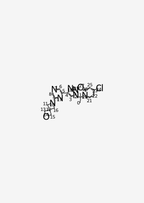 CC(n1cc(-c2cncc(N3CC4(COC4)C3)n2)nn1)n1ccc(Cl)cc1=O